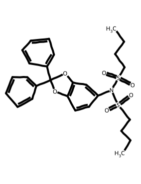 CCCCS(=O)(=O)N(c1ccc2c(c1)OC(c1ccccc1)(c1ccccc1)O2)S(=O)(=O)CCCC